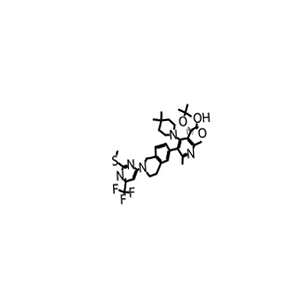 CSc1nc(N2CCc3cc(-c4c(C)nc(C)c([C@H](OC(C)(C)C)C(=O)O)c4N4CCC(C)(C)CC4)ccc3C2)cc(C(F)(F)F)n1